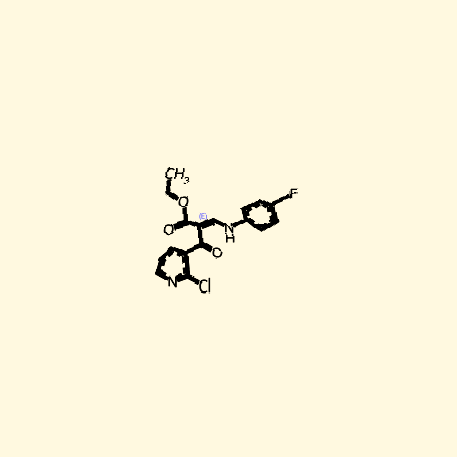 CCOC(=O)/C(=C/Nc1ccc(F)cc1)C(=O)c1cccnc1Cl